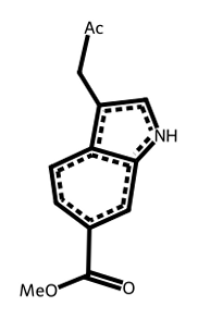 COC(=O)c1ccc2c(CC(C)=O)c[nH]c2c1